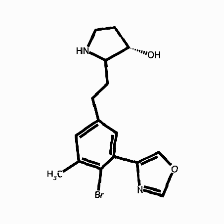 Cc1cc(CCC2NCC[C@@H]2O)cc(-c2cocn2)c1Br